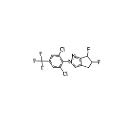 FC1Cc2cn(-c3c(Cl)cc(C(F)(F)F)cc3Cl)nc2C1F